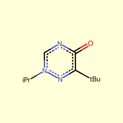 CC(C)n1cnc(=O)c(C(C)(C)C)n1